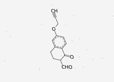 C#CCOc1ccc2c(c1)CCC(C=O)C2=O